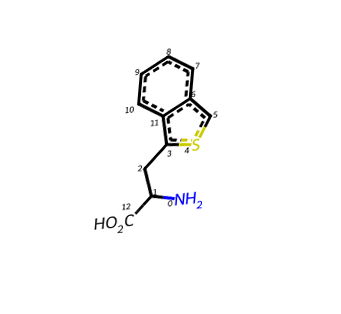 NC(Cc1scc2ccccc12)C(=O)O